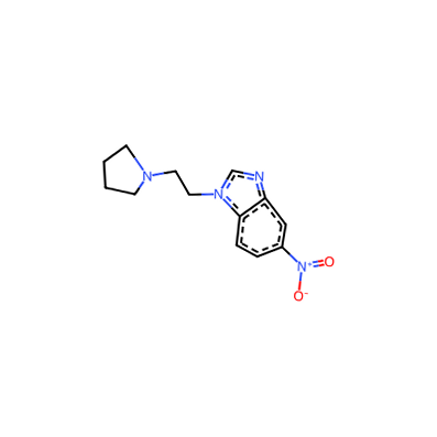 O=[N+]([O-])c1ccc2c(c1)ncn2CCN1CCCC1